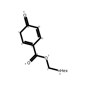 CCCCCCCOC(=O)C1=CCC(=O)C=C1